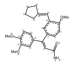 COc1ccc(/C(=C\C(N)=O)c2ccc(OC)c(OC)c2)cc1C=C1CCCC1